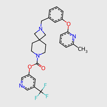 Cc1cccc(Oc2cccc(CN3CC4(CCN(C(=O)Oc5cncc(C(F)(F)F)c5)CC4)C3)c2)n1